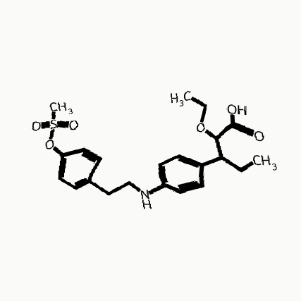 CCOC(C(=O)O)C(CC)c1ccc(NCCc2ccc(OS(C)(=O)=O)cc2)cc1